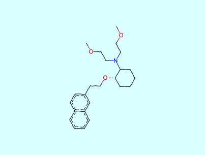 COCCN(CCOC)C1CCCC[C@@H]1OCCc1ccc2ccccc2c1